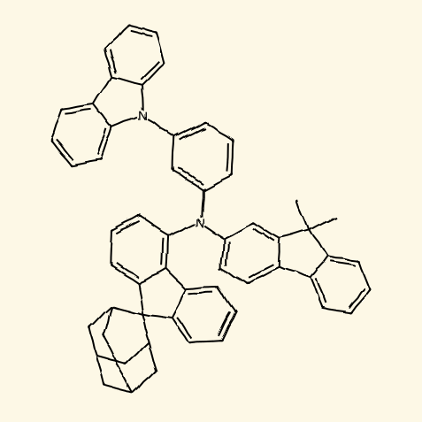 CC1(C)c2ccccc2-c2ccc(N(c3cccc(-n4c5ccccc5c5ccccc54)c3)c3cccc4c3-c3ccccc3C43C4CC5CC(C4)CC3C5)cc21